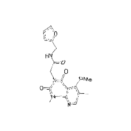 COc1c(C)cnc2c1c(=O)n(CC(=O)NCc1ccco1)c(=O)n2C